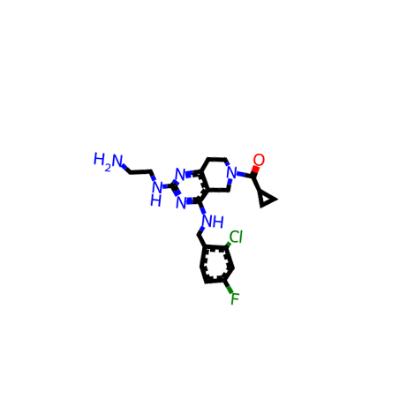 NCCNc1nc2c(c(NCc3ccc(F)cc3Cl)n1)CN(C(=O)C1CC1)CC2